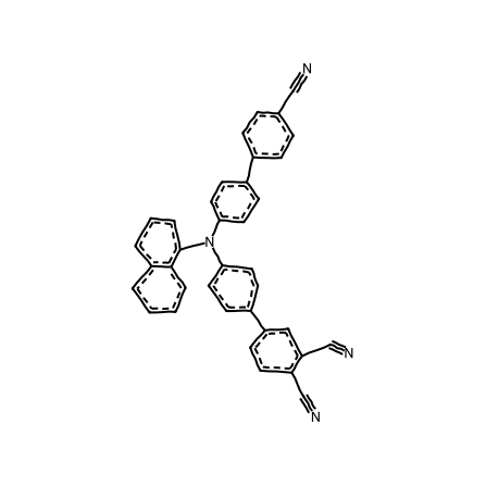 N#Cc1ccc(-c2ccc(N(c3ccc(-c4ccc(C#N)c(C#N)c4)cc3)c3cccc4ccccc34)cc2)cc1